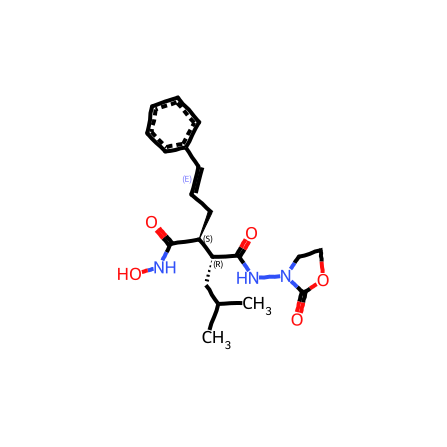 CC(C)C[C@@H](C(=O)NN1CCOC1=O)[C@H](C/C=C/c1ccccc1)C(=O)NO